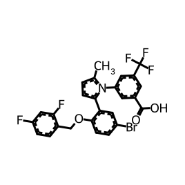 Cc1ccc(-c2cc(Br)ccc2OCc2ccc(F)cc2F)n1-c1cc(C(=O)O)cc(C(F)(F)F)c1